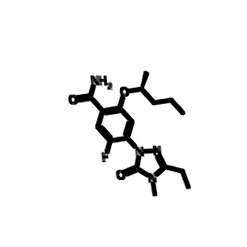 CCC[C@H](C)Oc1cc(-n2nc(CC)n(C)c2=O)c(F)cc1C(N)=O